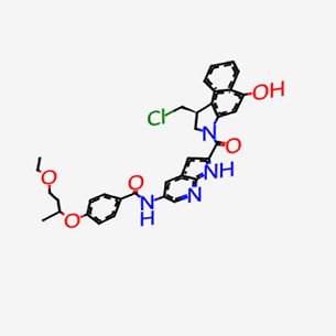 CCOCCC(C)Oc1ccc(C(=O)Nc2cnc3[nH]c(C(=O)N4C[C@@H](CCl)c5c4cc(O)c4ccccc54)cc3c2)cc1